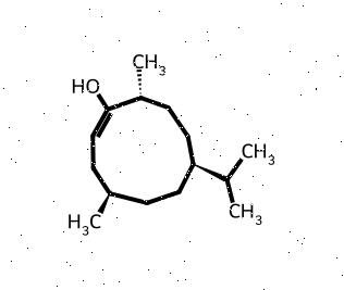 CC(C)[C@H]1CC[C@@H](C)C/C=C(/O)[C@H](C)CC1